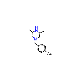 CC(=O)c1ccc(CN2CC(C)NC(C)C2)cc1